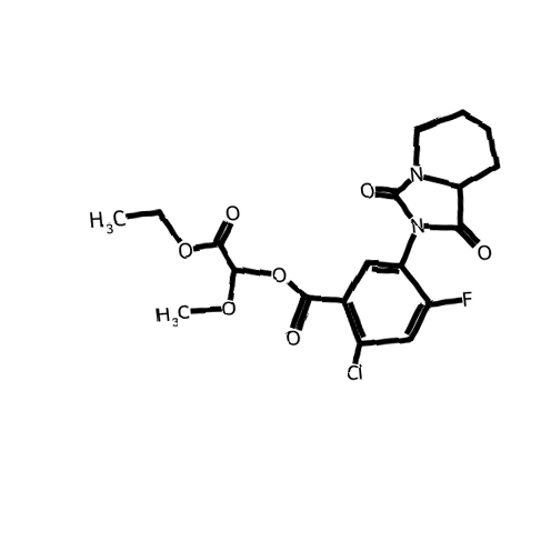 CCOC(=O)C(OC)OC(=O)c1cc(N2C(=O)C3CCCCN3C2=O)c(F)cc1Cl